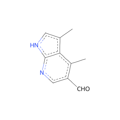 Cc1c[nH]c2ncc(C=O)c(C)c12